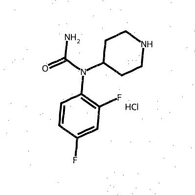 Cl.NC(=O)N(c1ccc(F)cc1F)C1CCNCC1